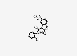 O=C(Nc1ccccc1Cl)C1C(=O)Sc2ccc([N+](=O)[O-])cc21